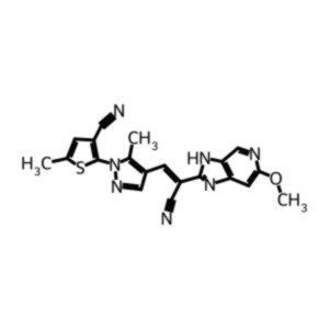 COc1cc2nc(C(C#N)=Cc3cnn(-c4sc(C)cc4C#N)c3C)[nH]c2cn1